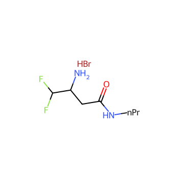 Br.CCCNC(=O)CC(N)C(F)F